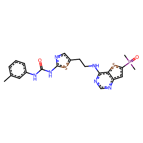 Cc1cccc(NC(=O)Nc2ncc(CCNc3ncnc4cc(P(C)(C)=O)sc34)s2)c1